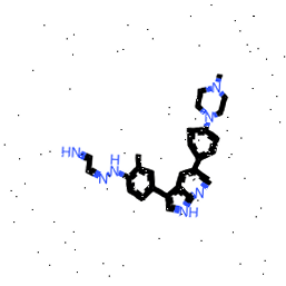 Cc1cc(-c2c[nH]c3ncc(-c4ccc(N5CCN(C)CC5)cc4)cc23)ccc1N/N=C\C=N